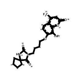 CCCc1c(OCCCCN2C(=O)NC3(CCCC3)C2=O)ccc2c(C(F)(F)F)cc(=O)oc12